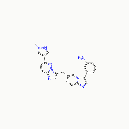 Cn1cc(-c2ccc3ncc(Cc4ccc5ncc(-c6cccc(N)c6)n5c4)n3n2)cn1